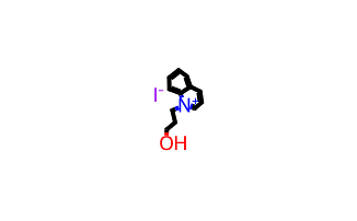 OCCC[n+]1cccc2ccccc21.[I-]